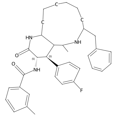 Cc1cccc(C(=O)N[C@@H]2C(=O)NC3CCCCCCC(Cc4ccccc4)NC(C)C3[C@H]2c2ccc(F)cc2)c1